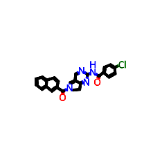 O=C(NC1N=CC2=CN(C(=O)c3ccc4ccccc4c3)CCC2=N1)c1ccc(Cl)cc1